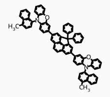 Cc1ccc(N2c3ccccc3Oc3cc(-c4cc5c6c(ccc7cc(-c8ccc9c(c8)Oc8ccccc8N9c8ccc(C)c9ccccc89)cc(c76)C5(c5ccccc5)c5ccccc5)c4)ccc32)c2ccccc12